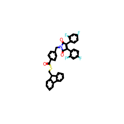 O=C(SCC1c2ccccc2-c2ccccc21)c1ccc(CN2C(=O)C(c3ccc(F)cc3F)=C(c3ccc(F)cc3F)C2=O)cc1